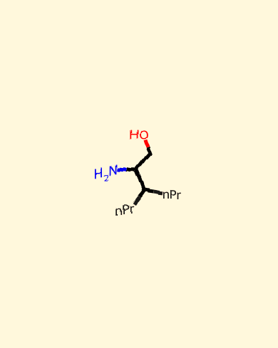 CCCC(CCC)C(N)CO